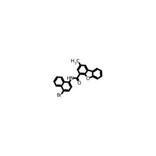 Cc1cc(C(=O)Nc2ccc(Br)c3ccccc23)c2oc3ccccc3c2c1